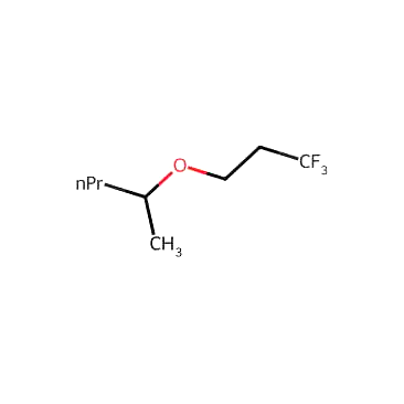 CCCC(C)OCCC(F)(F)F